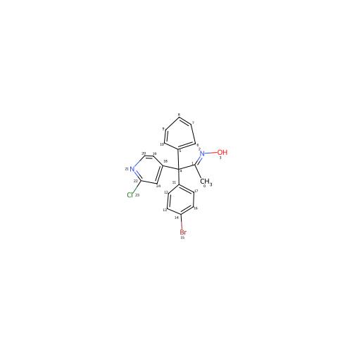 CC(=NO)C(c1ccccc1)(c1ccc(Br)cc1)c1ccnc(Cl)c1